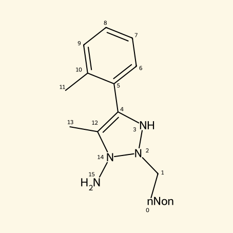 CCCCCCCCCCN1NC(c2ccccc2C)=C(C)N1N